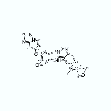 CN(c1ncc2ncnc(Nc3ccc(Oc4ccn5ncnc5c4)c(Cl)c3)c2n1)[C@H]1CCOC1